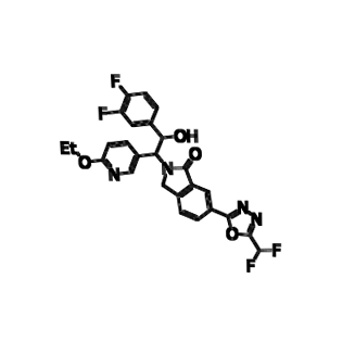 CCOc1ccc(C(C(O)c2ccc(F)c(F)c2)N2Cc3ccc(-c4nnc(C(F)F)o4)cc3C2=O)cn1